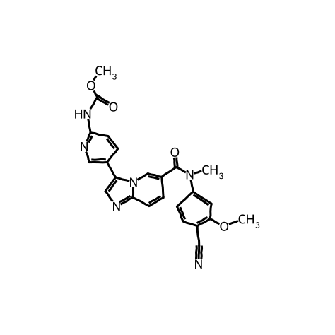 COC(=O)Nc1ccc(-c2cnc3ccc(C(=O)N(C)c4ccc(C#N)c(OC)c4)cn23)cn1